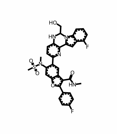 CNC(=O)c1c(-c2ccc(F)cc2)oc2cc(N(C)S(C)(=O)=O)c(-c3ccc4c(n3)-c3cc5c(F)cccc5n3C(CO)N4)cc12